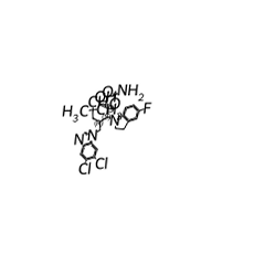 CC(C)(C)C[C@H](Cn1cnc2cc(Cl)c(Cl)cc21)[C@@H](C(CO)OC(N)=O)N1CCc2cc(F)ccc21